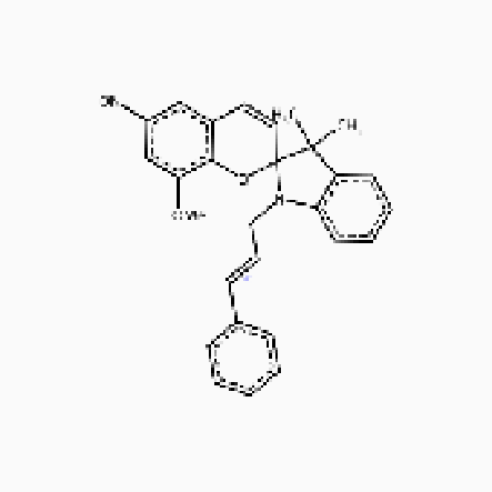 COc1cc(N=O)cc2c1OC1(C=C2)N(C/C=C/c2ccccc2)c2ccccc2C1(C)C